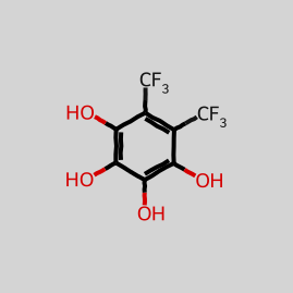 Oc1c(O)c(O)c(C(F)(F)F)c(C(F)(F)F)c1O